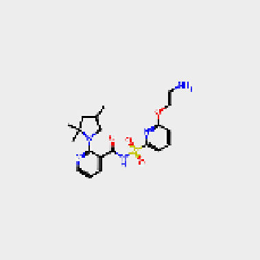 CC1CN(c2ncccc2C(=O)NS(=O)(=O)c2cccc(OCCN)n2)C(C)(C)C1